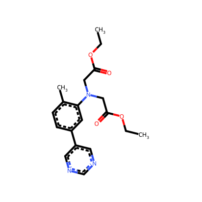 CCOC(=O)CN(CC(=O)OCC)c1cc(-c2cncnc2)ccc1C